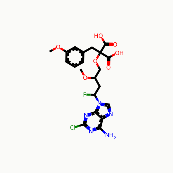 COc1cccc(CC(OCC(CC(F)n2cnc3c(N)nc(Cl)nc32)OC)(C(=O)O)C(=O)O)c1